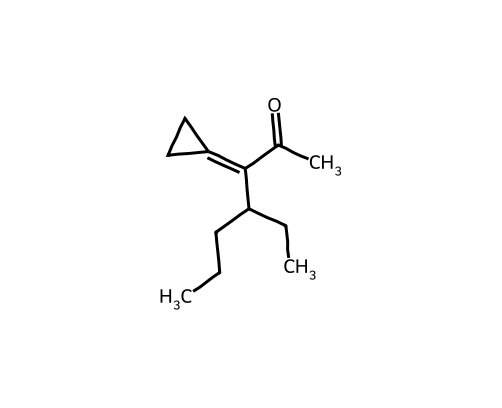 CCCC(CC)C(C(C)=O)=C1CC1